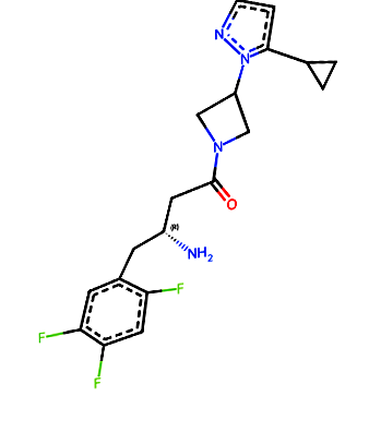 N[C@@H](CC(=O)N1CC(n2nccc2C2CC2)C1)Cc1cc(F)c(F)cc1F